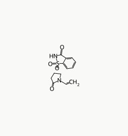 C=CN1CCCC1=O.O=C1NS(=O)(=O)c2ccccc21